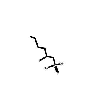 CCCCC(I)CP(=O)(O)O